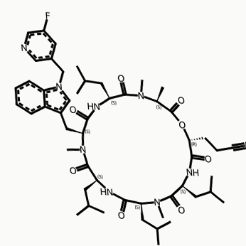 CC(C)C[C@@H]1NC(=O)[C@H](Cc2cn(Cc3cncc(F)c3)c3ccccc23)N(C)C(=O)[C@H](CC(C)C)NC(=O)[C@H](CC(C)C)N(C)C(=O)[C@H](CC(C)C)NC(=O)[C@@H](CCC#N)OC(=O)[C@H](C)N(C)C1=O